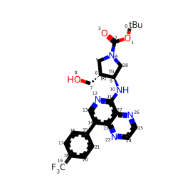 CC(C)(C)OC(=O)N1C[C@@H](CO)[C@H](Nc2ncc(-c3ccc(C(F)(F)F)cc3)c3nccnc23)C1